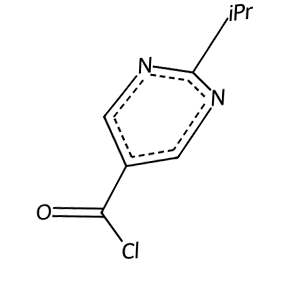 CC(C)c1ncc(C(=O)Cl)cn1